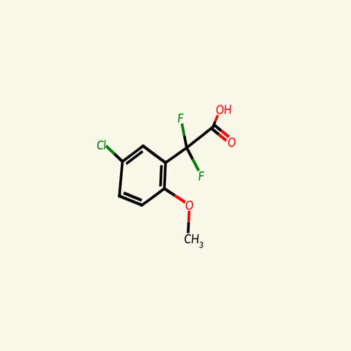 COc1ccc(Cl)cc1C(F)(F)C(=O)O